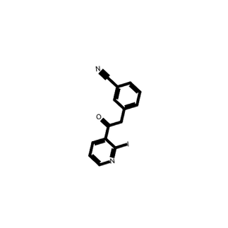 N#Cc1cccc(CC(=O)c2cccnc2I)c1